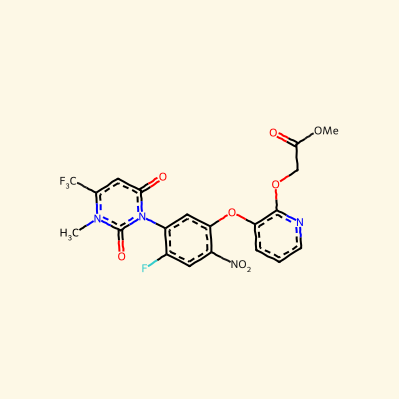 COC(=O)COc1ncccc1Oc1cc(-n2c(=O)cc(C(F)(F)F)n(C)c2=O)c(F)cc1[N+](=O)[O-]